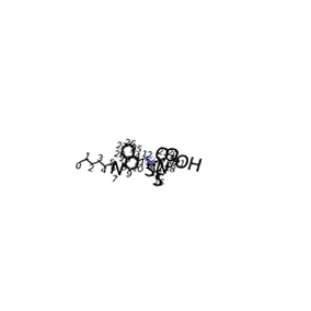 CCCCCCN(C)c1ccc(/C=C2\SC(=S)N(CC(=O)O)C2=O)c2ccccc12